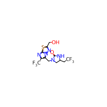 O=C1NC(CC(F)(F)F)CN1Cc1c(C(F)(F)F)nc2sc(CO)nn12